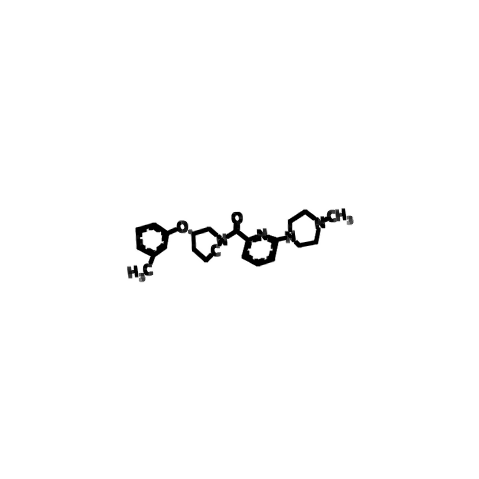 Cc1cccc(O[C@H]2CCCN(C(=O)c3cccc(N4CCN(C)CC4)n3)C2)c1